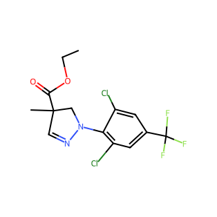 CCOC(=O)C1(C)C=NN(c2c(Cl)cc(C(F)(F)F)cc2Cl)C1